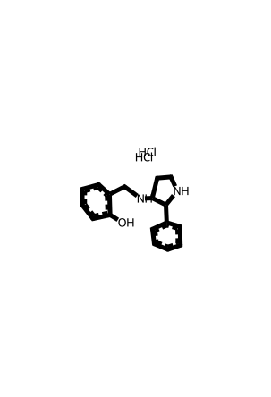 Cl.Cl.Oc1ccccc1CNC1CCNC1c1ccccc1